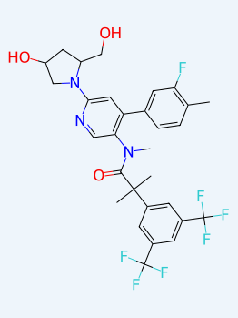 Cc1ccc(-c2cc(N3CC(O)CC3CO)ncc2N(C)C(=O)C(C)(C)c2cc(C(F)(F)F)cc(C(F)(F)F)c2)cc1F